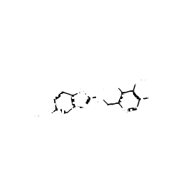 COc1ccc2[nH]c([S@@+]([O-])Cc3ncc(C)c(OC)c3C)nc2c1.O